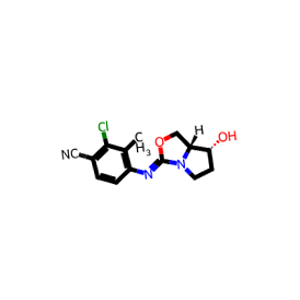 Cc1c(/N=C2\OC[C@@H]3[C@H](O)CCN23)ccc(C#N)c1Cl